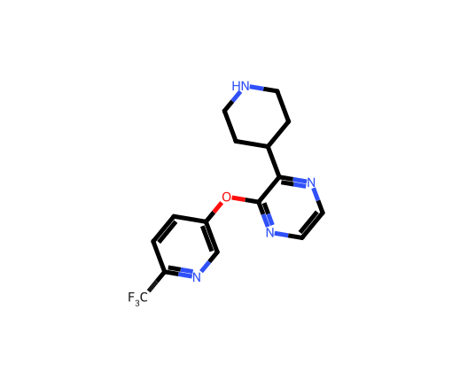 FC(F)(F)c1ccc(Oc2nccnc2C2CCNCC2)cn1